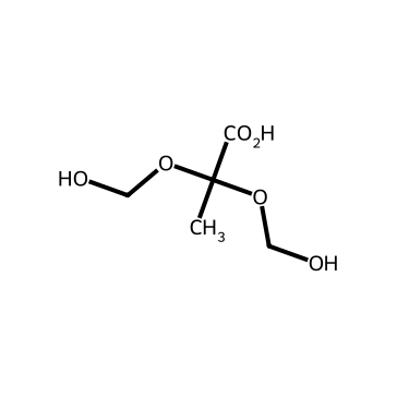 CC(OCO)(OCO)C(=O)O